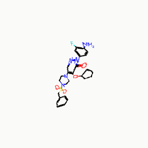 Nc1ccc(-n2ncc(N3CCN(S(=O)(=O)Cc4ccccc4)CC3)c(OC3CCCC3)c2=O)cc1F